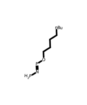 CCCCCCCCOP=NP